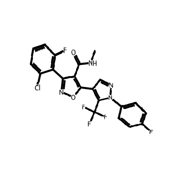 CNC(=O)c1c(-c2c(F)cccc2Cl)noc1-c1cnn(-c2ccc(F)cc2)c1C(F)(F)F